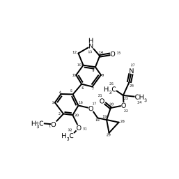 COc1ccc(-c2ccc3c(c2)CNC3=O)c(OCC2(C(=O)OC(C)(C)C#N)CC2)c1OC